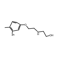 Cc1ccc(OCCNCCO)cc1C(C)C